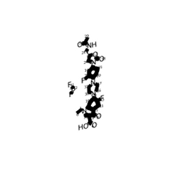 CCn1cc(C(=O)O)c(=O)c2cc(F)c(N3CCN(c4ccc(N5C[C@H](CNC(C)=O)OC5=O)cc4F)CC3)cc21.F[B]F